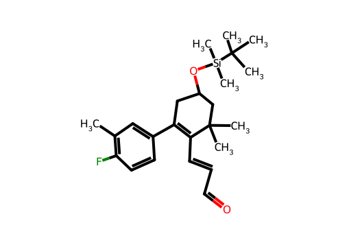 Cc1cc(C2=C(C=CC=O)C(C)(C)CC(O[Si](C)(C)C(C)(C)C)C2)ccc1F